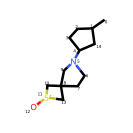 CC1CCC(N2CCC3(C2)C[S+]([O-])C3)C1